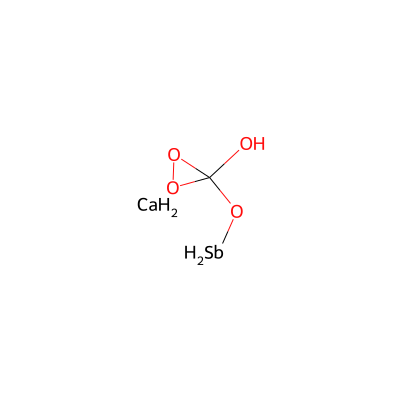 OC1([O][SbH2])OO1.[CaH2]